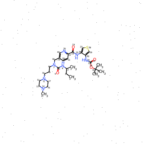 CCC(C)NC(=O)N(CCCN1CCN(C)CC1)Cc1ccc(C(=O)Nc2cscc2NC(=O)OC(C)(C)C)nc1